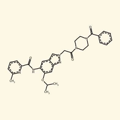 Cc1cccc(C(=O)Nc2cc3cn(CC(=O)N4CCN(C(=O)c5ccccc5)CC4)nc3cc2OC(C)C)n1